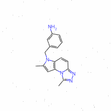 Cc1cc2c(ccc3nnc(C)n32)n1Cc1cccc(N)c1